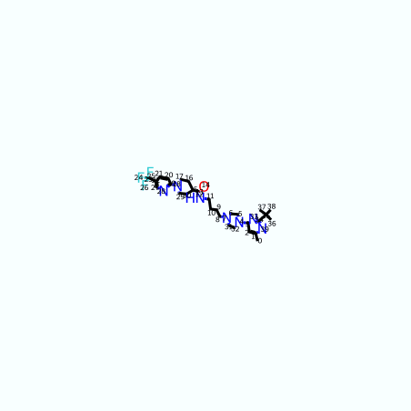 Cc1cc(N2CCN(CCCCNC(=O)C3CCN(c4ccc(C(F)(F)F)cn4)CC3)CC2)nc(C(C)(C)C)n1